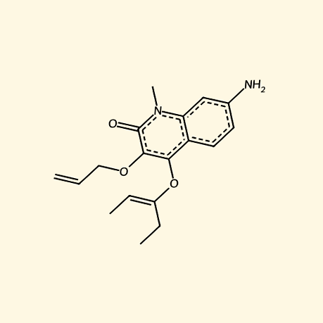 C=CCOc1c(OC(=CC)CC)c2ccc(N)cc2n(C)c1=O